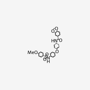 COc1ccc(S(=O)(=O)Nc2ccc(OC3=CCC(NC(=O)c4ccc5c(c4)OCO5)C=C3)cc2)cc1